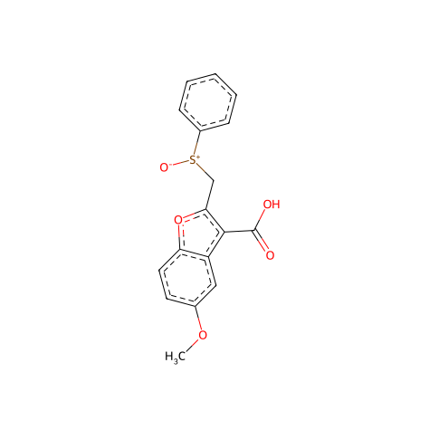 COc1ccc2oc(C[S+]([O-])c3ccccc3)c(C(=O)O)c2c1